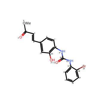 COC(=O)/C=C/c1ccc(NC(=O)Nc2ccccc2Br)c(O)c1